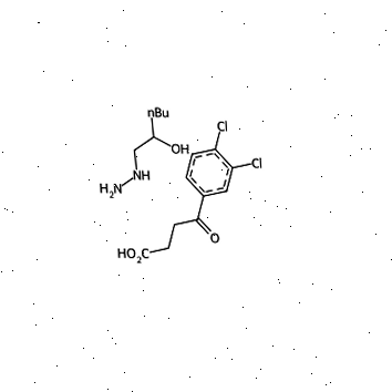 CCCCC(O)CNN.O=C(O)CCC(=O)c1ccc(Cl)c(Cl)c1